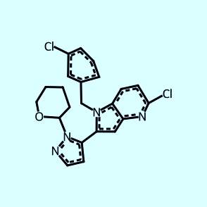 Clc1cccc(Cn2c(-c3ccnn3C3CCCCO3)cc3nc(Cl)ccc32)c1